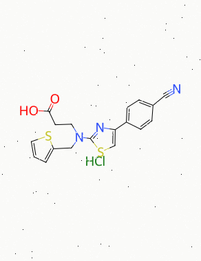 Cl.N#Cc1ccc(-c2csc(N(CCC(=O)O)Cc3cccs3)n2)cc1